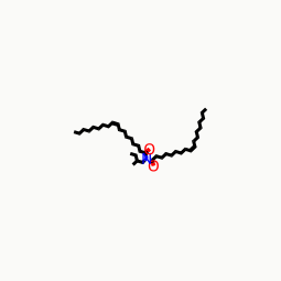 CCCCCCCC/C=C\CCCCCCCC(=O)N(CC(C)CC)C(=O)CCCCCCC/C=C\CCCCCCCC